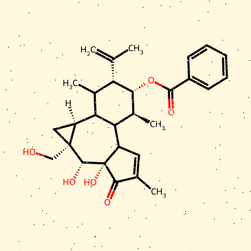 C=C(C)[C@H]1C(C)C2C(C3C=C(C)C(=O)[C@@]3(O)[C@H](O)[C@@]3(CO)C[C@@H]23)[C@H](C)[C@H]1OC(=O)c1ccccc1